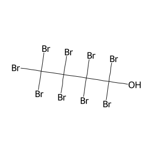 OC(Br)(Br)C(Br)(Br)C(Br)(Br)C(Br)(Br)Br